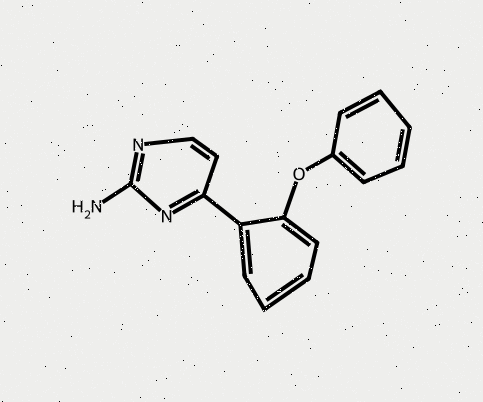 Nc1nccc(-c2ccccc2Oc2ccccc2)n1